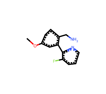 COc1ccc(CN)c(-c2ncccc2F)c1